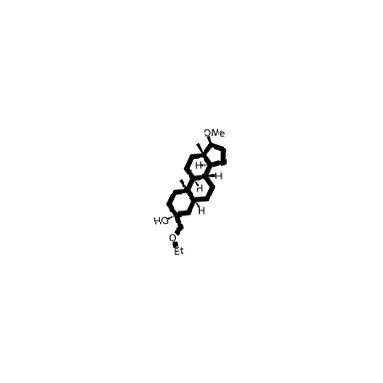 CCOC[C@@]1(O)CC[C@@]2(C)[C@@H](CC[C@@H]3[C@@H]2CC[C@]2(C)[C@@H](OC)CC[C@@H]32)C1